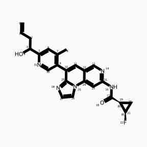 C=CCC(O)c1cc(C)c(-c2cc3cnc(NC(=O)[C@H]4C[C@H]4F)cc3n3ccnc23)cn1